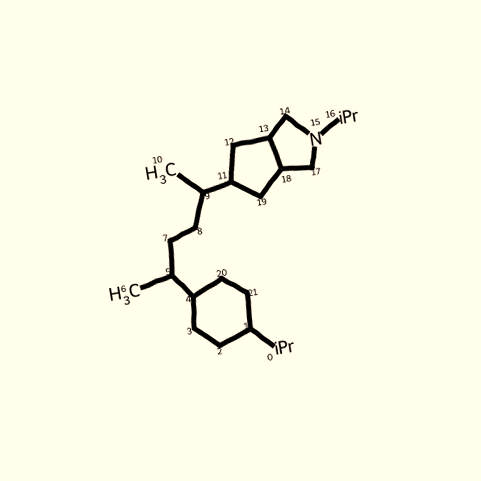 CC(C)C1CCC(C(C)CCC(C)C2CC3CN(C(C)C)CC3C2)CC1